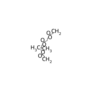 C=CC(=O)OCCC(=O)OCC(C)(C)COC(=O)C=C